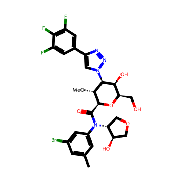 CO[C@@H]1[C@@H](n2cc(-c3cc(F)c(F)c(F)c3)nn2)[C@@H](O)[C@@H](CO)O[C@H]1C(=O)N(c1cc(C)cc(Br)c1)[C@@H]1COC[C@H]1O